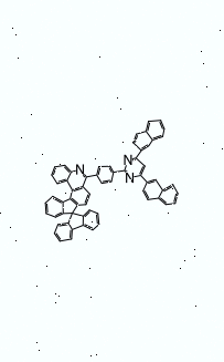 c1ccc2c(c1)-c1ccccc1C21c2ccccc2-c2c1ccc1c(-c3ccc(-c4nc(-c5ccc6ccccc6c5)cc(-c5ccc6ccccc6c5)n4)cc3)nc3ccccc3c21